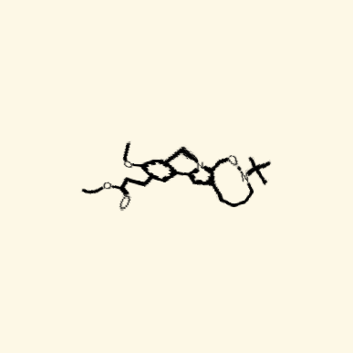 CCOC(=O)/C=C/c1cc2c(cc1OC)CCn1c-2cc2c1CON(C(C)(C)C)CCCC2